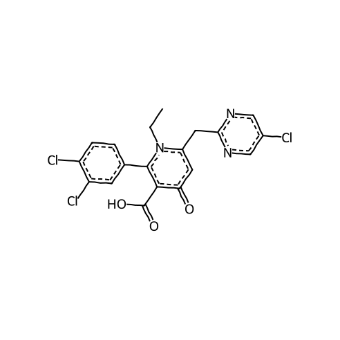 CCn1c(Cc2ncc(Cl)cn2)cc(=O)c(C(=O)O)c1-c1ccc(Cl)c(Cl)c1